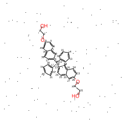 OCCOc1ccc2cc([Si](c3ccccc3)(c3ccccc3)c3ccc4cc(OCCO)ccc4c3)ccc2c1